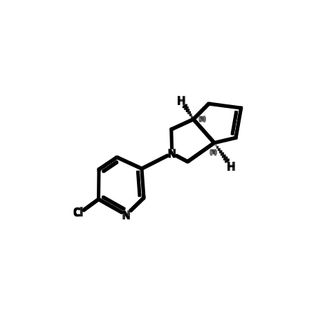 Clc1ccc(N2C[C@H]3CC=C[C@H]3C2)cn1